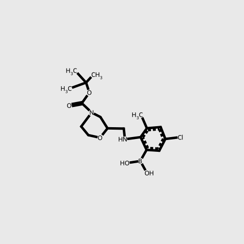 Cc1cc(Cl)cc(B(O)O)c1NCC1CN(C(=O)OC(C)(C)C)CCO1